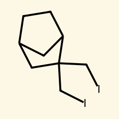 ICC1(CI)CC2CCC1C2